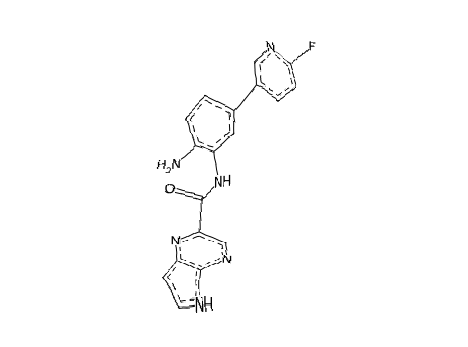 Nc1ccc(-c2ccc(F)nc2)cc1NC(=O)c1cnc2[nH]ccc2n1